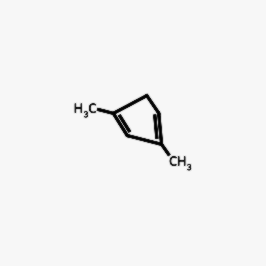 CC1=CCC(C)=C1